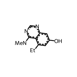 CCc1cc(O)cc2ncnc(NC)c12